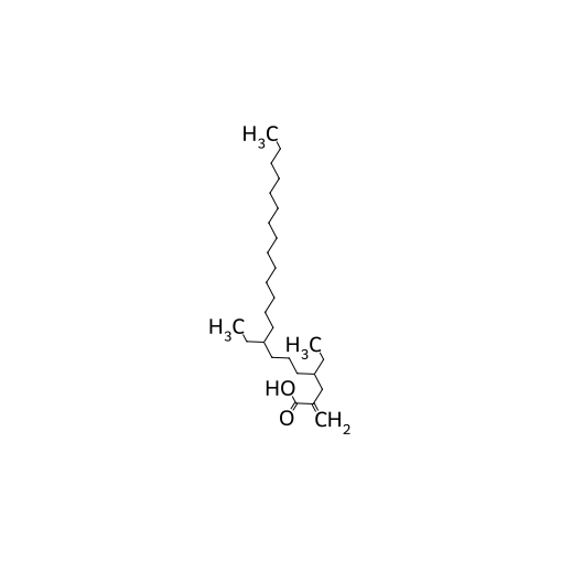 C=C(CC(CC)CCCC(CC)CCCCCCCCCCCCCC)C(=O)O